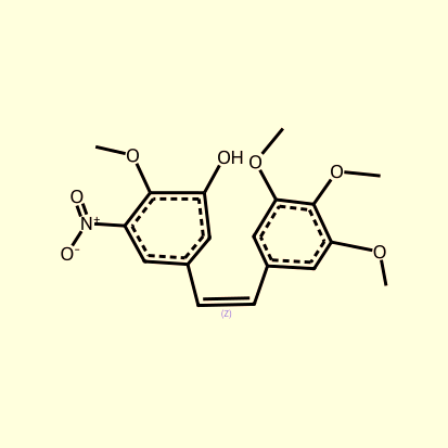 COc1cc(/C=C\c2cc(O)c(OC)c([N+](=O)[O-])c2)cc(OC)c1OC